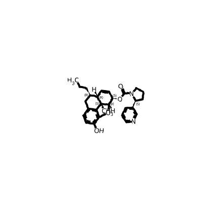 CCC[C@@H]1Cc2ccc(O)c3c2[C@]2(C)[C@H]1C=C[C@H](OC(=O)N1CCC[C@H]1c1cccnc1)[C@@H]2O3